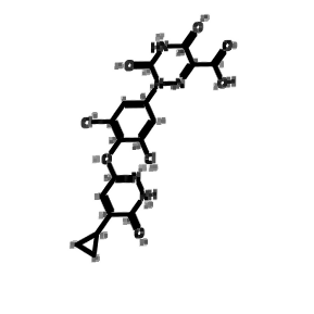 O=C(O)c1nn(-c2cc(Cl)c(Oc3cc(C4CC4)c(=O)[nH]n3)c(Cl)c2)c(=O)[nH]c1=O